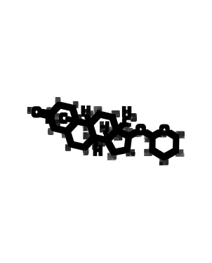 C[C@]12CCC(=O)CC1CC[C@@H]1[C@H]2CC[C@]2(C)C(OC3CCCCO3)CC[C@@H]12